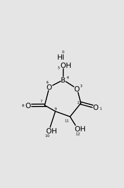 I.O=C1OB(O)OC(=O)C(O)C1O